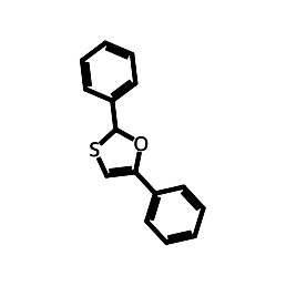 C1=C(c2ccccc2)OC(c2ccccc2)S1